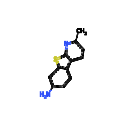 Cc1ccc2c(n1)sc1cc(N)ccc12